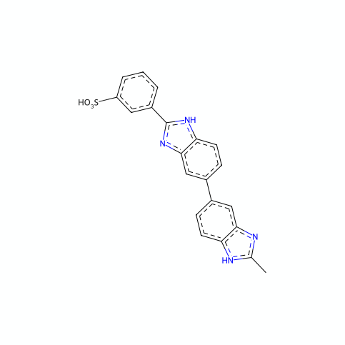 Cc1nc2cc(-c3ccc4[nH]c(-c5cccc(S(=O)(=O)O)c5)nc4c3)ccc2[nH]1